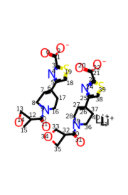 O=C([O-])c1nc(C2=CCN(C(=O)C3COC3)CC2)cs1.O=C([O-])c1nc(C2=CCN(C(=O)C3COC3)CC2)cs1.[Li+].[Li+]